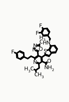 Cc1nnc(-c2c(CCc3ccc(F)cc3)nc(CC(C)C)c(C(N)=O)c2-c2cc3cccc(NCc4ccc(F)c(F)c4)c3s2)o1